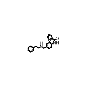 O=c1[nH]c2ccc(CNCCc3ccccc3)cc2n2cccc12